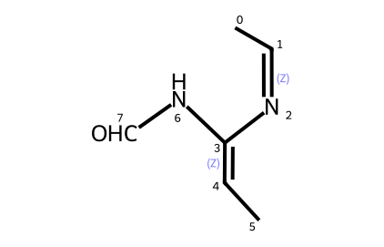 C/C=N\C(=C/C)NC=O